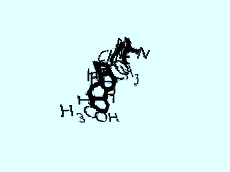 C[C@@]1(O)CC[C@H]2[C@H](CC[C@@H]3[C@@H]2CC[C@@]2(C)[C@H]3[C@@H]3C[C@]3(C)[C@@H]2C(=O)Cn2ncc(C#N)c2F)C1